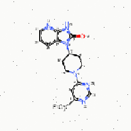 CCOC(=O)c1cc(N2CCC(n3c(=O)[nH]c4ncccc43)CC2)ncn1